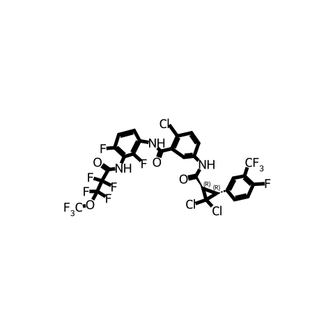 O=C(Nc1ccc(F)c(NC(=O)C(F)(F)C(F)(F)OC(F)(F)F)c1F)c1cc(NC(=O)[C@H]2[C@H](c3ccc(F)c(C(F)(F)F)c3)C2(Cl)Cl)ccc1Cl